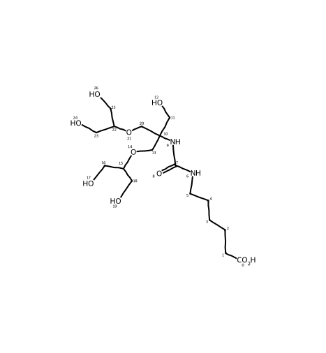 O=C(O)CCCCCNC(=O)NC(CO)(COC(CO)CO)COC(CO)CO